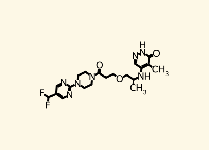 Cc1c(N[C@@H](C)COCCC(=O)N2CCN(c3ncc(C(F)F)cn3)CC2)cn[nH]c1=O